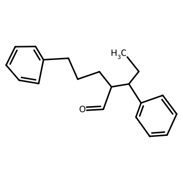 CCC(c1ccccc1)C(C=O)CCCc1ccccc1